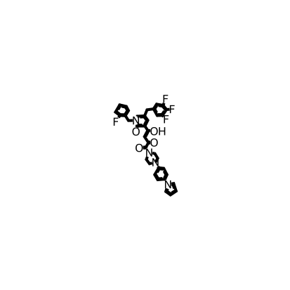 O=C(C=C(O)c1cc(Cc2cc(F)c(F)c(F)c2)cn(Cc2ccccc2F)c1=O)C(=O)N1CCN(c2ccc(-n3cccc3)cc2)CC1